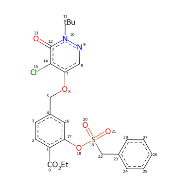 CCOC(=O)c1ccc(COc2cnn(C(C)(C)C)c(=O)c2Cl)cc1OS(=O)(=O)Cc1ccccc1